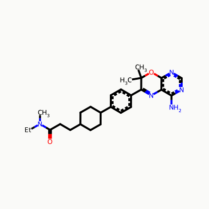 CCN(C)C(=O)CCC1CCC(c2ccc(C3=Nc4c(N)ncnc4OC3(C)C)cc2)CC1